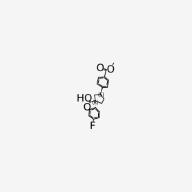 COC(=O)c1ccc([C@H]2CC[C@](C(=O)O)(c3ccc(F)cc3)C2)cc1